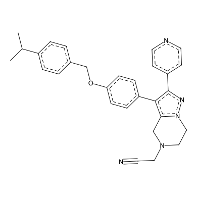 CC(C)c1ccc(COc2ccc(-c3c(-c4ccncc4)nn4c3CN(CC#N)CC4)cc2)cc1